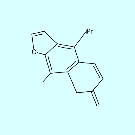 C=C1C=Cc2c(c(C)c3occc3c2C(C)C)C1